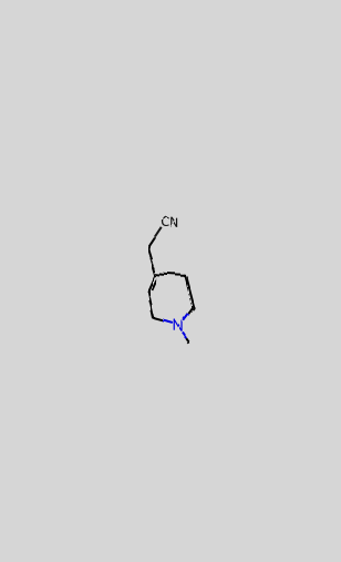 CN1CC=C(CC#N)CC1